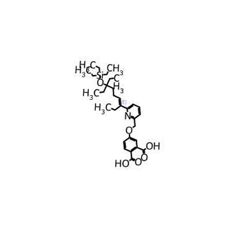 CC/C(=C\CCC(CC)(CC)O[Si](CC)(CC)CC)c1cccc(COc2ccc(C(=O)O)c(C(=O)O)c2)n1